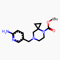 CC(C)(C)OC(=O)N1CCN(Cc2ccc(N)nc2)CC12CC2